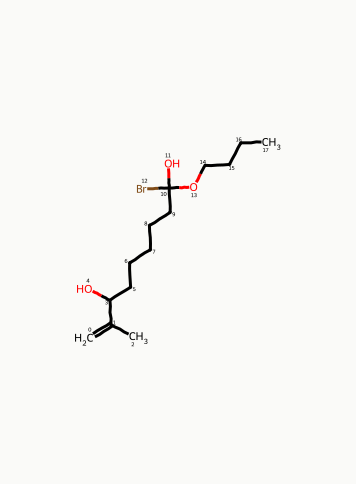 C=C(C)C(O)CCCCCC(O)(Br)OCCCC